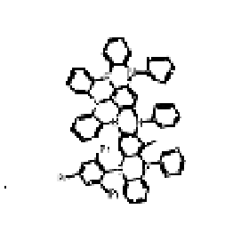 Cc1c2c(cc3c1N(c1ccccc1)c1cc4c5c6c1B3c1ccccc1N6c1ccccc1B5c1ccccc1N4c1ccccc1)B(c1c(C(C)C)cc(C(C)C)cc1C(C)C)c1ccccc1N2c1ccccc1